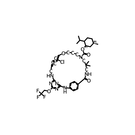 CC(C)C1CC[C@@H](C)C[C@H]1OC(=O)N1CCCOc2ccc(cc2Cl)CNc2nc(nc(OCC(F)(F)F)n2)Nc2ccc(cc2)C(=O)NCC(C)(C)C1